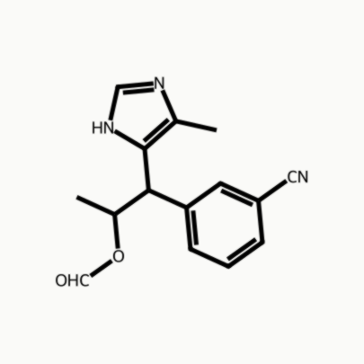 Cc1nc[nH]c1C(c1cccc(C#N)c1)C(C)OC=O